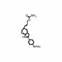 CC(=O)Nc1ccc(-c2cc3cc(C=CCOC(N)=O)cnc3[nH]2)cc1